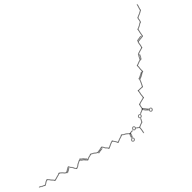 CCCCCC=CCC=CCC=CCCCCC(=O)OCC(C)OC(=O)CCCCC=CCC=CCC=CCCCCC